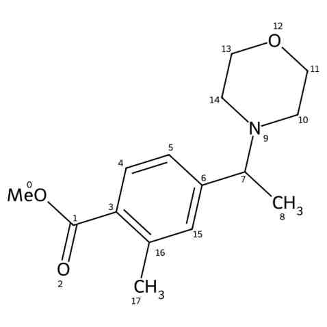 COC(=O)c1ccc(C(C)N2CCOCC2)cc1C